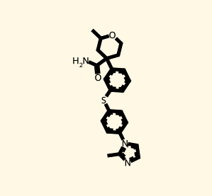 Cc1nccn1-c1ccc(Sc2cccc(C3(C(N)=O)CCOC(C)C3)c2)cc1